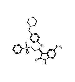 Nc1ccc2c(c1)C(=C(CCS(=O)(=O)c1ccccc1)Nc1ccc(CN3CCCCC3)cc1)C(=O)N2